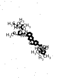 COC[C@H]1C[C@@H](c2nc3ccc4cc5c(cc4c3[nH]2)OCc2cc(-c3cnc([C@@]4(C(C)(C)C)C[C@H](C)CN4C(=O)O)[nH]3)ccc2-5)N(C(=O)[C@@H](NC(=O)OC)C(C)C)C1